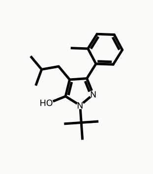 Cc1ccccc1-c1nn(C(C)(C)C)c(O)c1CC(C)C